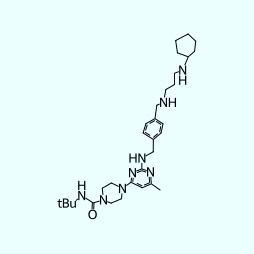 Cc1cc(N2CCN(C(=O)NC(C)(C)C)CC2)nc(NCc2ccc(CNCCCNC3CCCCC3)cc2)n1